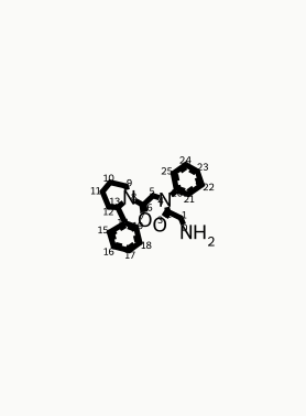 NCC(=O)N(CC(=O)N1CCCCC1c1ccccc1)c1ccccc1